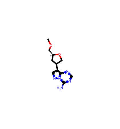 COC[C@@H]1CC(c2cnn3c(N)ncnc23)CO1